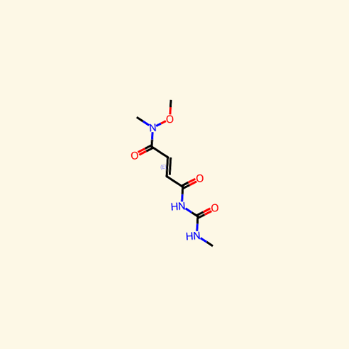 CNC(=O)NC(=O)/C=C/C(=O)N(C)OC